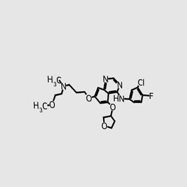 COCCN(C)CCCOc1cc(OC2CCOC2)c2c(Nc3ccc(F)c(Cl)c3)ncnc2c1